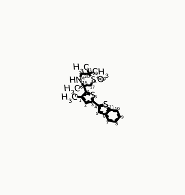 Cc1cc(-c2cc3ccccc3s2)sc1[C@]1(C)C[S+]([O-])C(C)(C)CN1